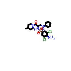 CC1CCN(C(=O)C(CNc2ccccc2)NS(=O)(=O)c2cc(Cl)c(N)c(Cl)c2)CC1